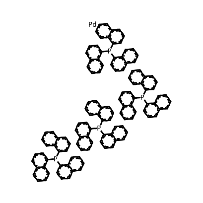 [Pd].c1ccc2c(P(c3cccc4ccccc34)c3cccc4ccccc34)cccc2c1.c1ccc2c(P(c3cccc4ccccc34)c3cccc4ccccc34)cccc2c1.c1ccc2c(P(c3cccc4ccccc34)c3cccc4ccccc34)cccc2c1.c1ccc2c(P(c3cccc4ccccc34)c3cccc4ccccc34)cccc2c1